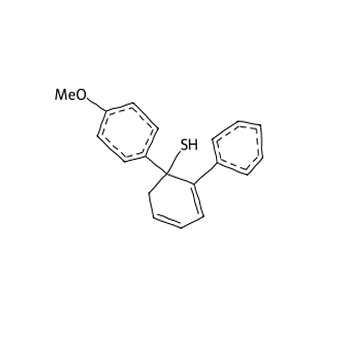 COc1ccc(C2(S)CC=CC=C2c2ccccc2)cc1